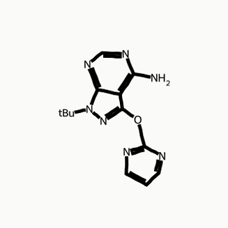 CC(C)(C)n1nc(Oc2ncccn2)c2c(N)ncnc21